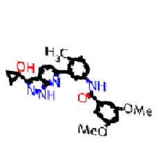 COc1cc(OC)cc(C(=O)Nc2ccc(C)c(-c3ccc4c(C5(O)CC5)n[nH]c4n3)c2)c1